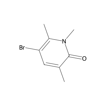 Cc1cc(Br)c(C)n(C)c1=O